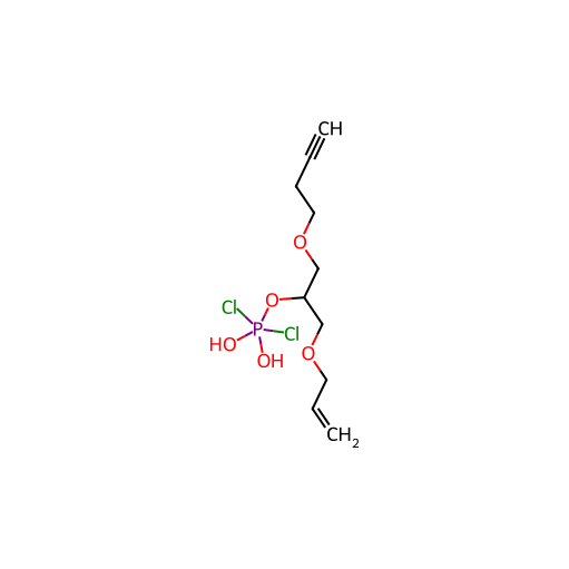 C#CCCOCC(COCC=C)OP(O)(O)(Cl)Cl